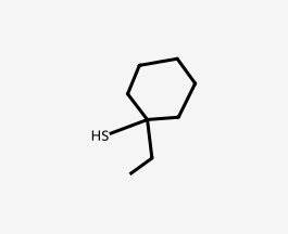 CCC1(S)CCCCC1